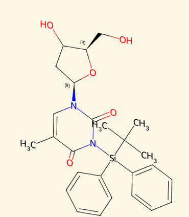 Cc1cn([C@H]2CC(O)[C@@H](CO)O2)c(=O)n([Si](c2ccccc2)(c2ccccc2)C(C)(C)C)c1=O